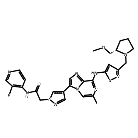 COC[C@@H]1CCCN1Cc1cc(Nc2nc(C)cn3c(-c4cnn(CC(=O)Nc5ccncc5F)c4)cnc23)sn1